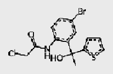 CC(O)(c1cccs1)c1cc(Br)ccc1NC(=O)CCl